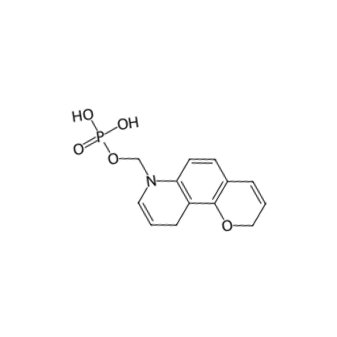 O=P(O)(O)OCN1C=CCc2c1ccc1c2OCC=C1